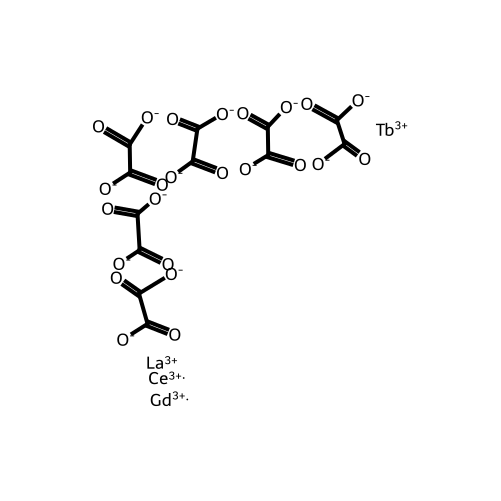 O=C([O-])C(=O)[O-].O=C([O-])C(=O)[O-].O=C([O-])C(=O)[O-].O=C([O-])C(=O)[O-].O=C([O-])C(=O)[O-].O=C([O-])C(=O)[O-].[Ce+3].[Gd+3].[La+3].[Tb+3]